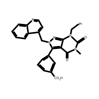 CC(C)Cn1c(=O)n(C)c(=O)c2c(-c3cccc(C(=O)O)c3)n(Cc3ccnc4ccccc34)nc21